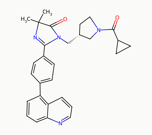 CC1(C)N=C(c2ccc(-c3cccc4ncccc34)cc2)N(C[C@@H]2CCN(C(=O)C3CC3)C2)C1=O